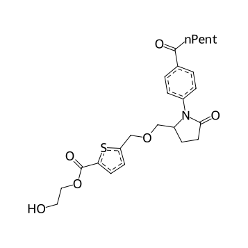 CCCCCC(=O)c1ccc(N2C(=O)CCC2COCc2ccc(C(=O)OCCO)s2)cc1